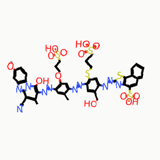 COc1ccc2c(c1)nc1c(C#N)c(C)c(N=Nc3cc(C)c(N=Nc4cc(CO)c(N=Nc5nc6c(S(=O)(=O)O)cc7ccccc7c6s5)cc4SCCCS(=O)(=O)O)cc3OCCCS(=O)(=O)O)c(O)n12